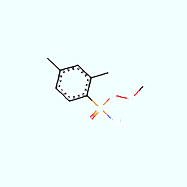 COOP(N)(=O)c1ccc(C)cc1C